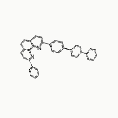 c1ccc(-c2ccc(-c3ccc(-c4ccc5ccc6ccc(-c7ccccc7)nc6c5n4)cc3)cc2)cc1